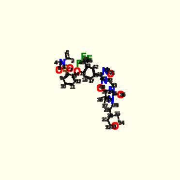 CC(C)N(C)S(=O)(=O)c1ccccc1Oc1ccc(-c2noc(CN3C(=O)N(CCC4CCOCC4)C(C)(C)C3=O)n2)cc1C(F)(F)F